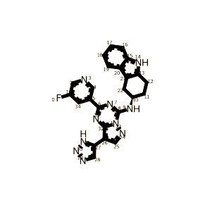 Fc1cncc(-c2nc(N[C@@H]3CCc4[nH]c5ccccc5c4C3)n3ncc(-c4cnn[nH]4)c3n2)c1